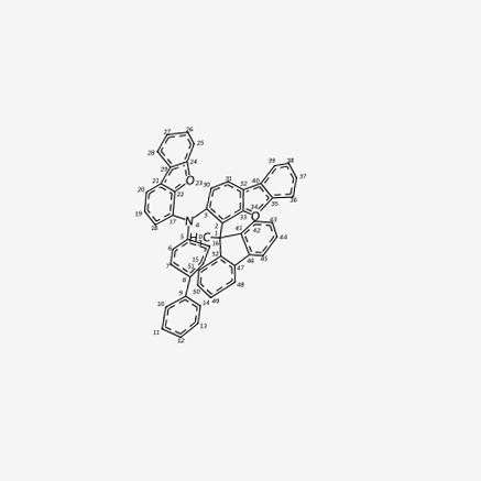 CC1(c2c(N(c3ccc(-c4ccccc4)cc3)c3cccc4c3oc3ccccc34)ccc3c2oc2ccccc23)c2ccccc2-c2ccccc21